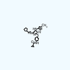 Cc1cc(Nc2cc(NCCC3CCCC3)nc(Sc3ccc(NC(=O)C4CC4)cc3)n2)[nH]n1